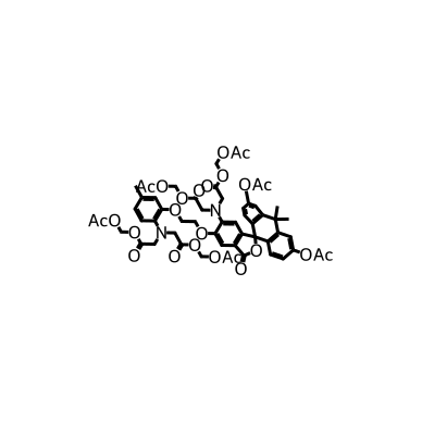 CC(=O)OCOC(=O)CN(CC(=O)OCOC(C)=O)c1ccc(C)cc1OCCOc1cc2c(cc1N(CC(=O)OCOC(C)=O)CC(=O)OCOC(C)=O)C1(OC2=O)c2ccc(OC(C)=O)cc2C(C)(C)c2cc(OC(C)=O)ccc21